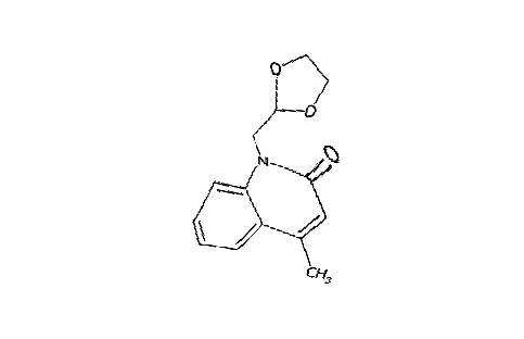 Cc1cc(=O)n(CC2OCCO2)c2ccccc12